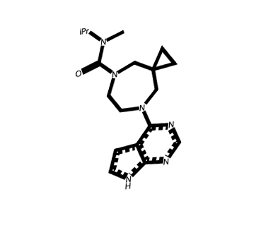 CC(C)N(C)C(=O)N1CCN(c2ncnc3[nH]ccc23)CC2(CC2)C1